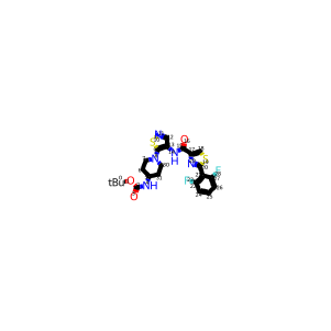 CC(C)(C)OC(=O)NC1CCN(c2sncc2NC(=O)c2csc(-c3c(F)cccc3F)n2)CC1